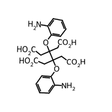 Nc1ccccc1OC(CC(=O)O)(CC(=O)O)C(CC(=O)O)(CC(=O)O)Oc1ccccc1N